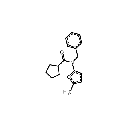 Cc1ccc(N(Cc2ccccc2)C(=O)C2CCCC2)o1